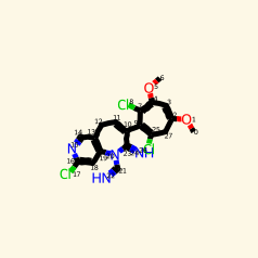 COC1=CC(OC)=C(Cl)C(C2=CCc3cnc(Cl)cc3N(C=N)C2=N)=C(Cl)C1